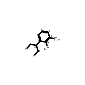 CCC(CC)c1cccc(F)c1F